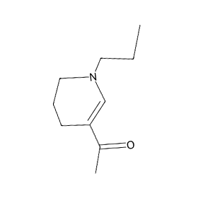 CCCN1C=C(C(C)=O)CCC1